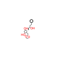 O[C@H](/C=C/[C@@H]1[C@@H](CC2OCCO2)[C@@H](O)C[C@H]1O)CCc1ccccc1